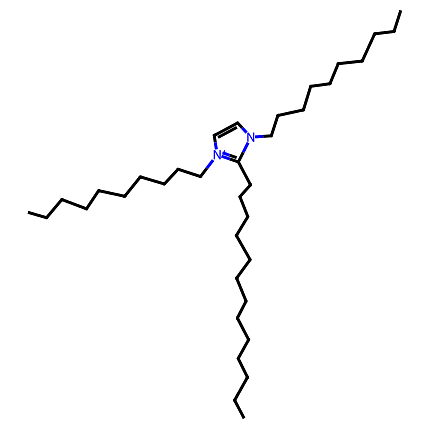 CCCCCCCCCCCCCc1n(CCCCCCCCCC)cc[n+]1CCCCCCCCCC